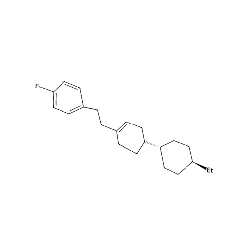 CC[C@H]1CC[C@H](C2CC=C(CCc3ccc(F)cc3)CC2)CC1